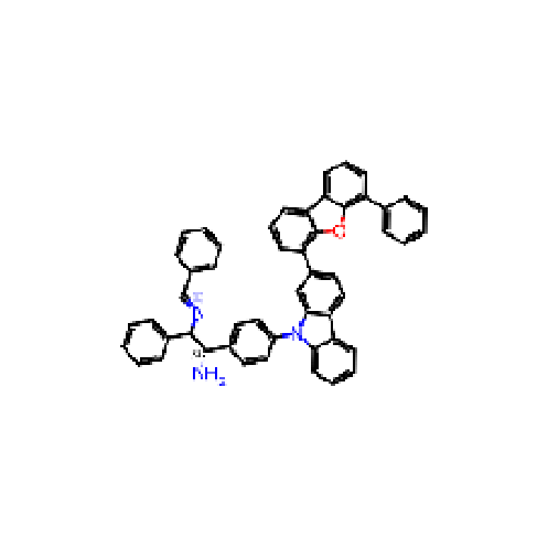 N[C@@H](c1ccc(-n2c3ccccc3c3ccc(-c4cccc5c4oc4c(-c6ccccc6)cccc45)cc32)cc1)C(/N=C/c1ccccc1)c1ccccc1